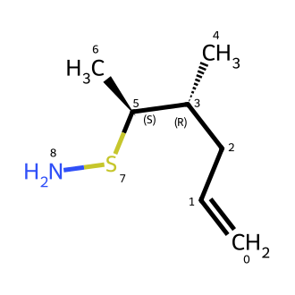 C=CC[C@@H](C)[C@H](C)SN